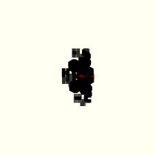 C=Cc1ccc(C(c2ccccc2)(c2ccccc2)C(C)OC(C)C(c2ccccc2)(c2ccccc2)c2ccc(C=C)cc2)cc1